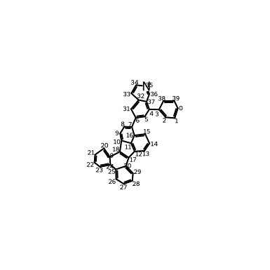 c1ccc(-c2cc(-c3ccc4c5c(cccc35)-c3c-4c4ccccc4c4ccccc34)cc3ccncc23)cc1